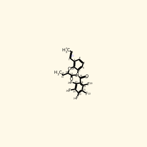 C/C=C/c1cccc2c1OC(CC)C(=O)N2C(=O)c1c(F)c(F)c(F)c(F)c1F